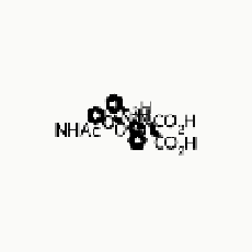 [2H]C[C@@](Cc1ccccc1)(C(=O)NC(CCC(=O)O)C(=O)O)N(Cc1ccccc1)C(=O)CO[C@@H]1CCCC[C@H]1NC(C)=O